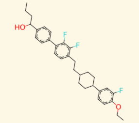 CCCC(O)c1ccc(-c2ccc(CCC3CCC(c4ccc(OCC)c(F)c4)CC3)c(F)c2F)cc1